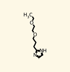 CCOCCOCCCc1n[c]c[nH]1